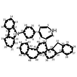 C1=CC=CNC=C1.c1ccc(-n2c3ccccc3c3ccccc32)cc1.c1ccc2c(c1)Cc1c-2ccc2c1ccc1c3ccccc3ccc21